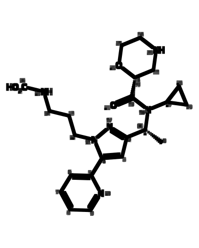 C[C@H](c1cc(-c2ccccn2)n(CCCNC(=O)O)n1)N(C(=O)[C@H]1CNCCO1)C1CC1